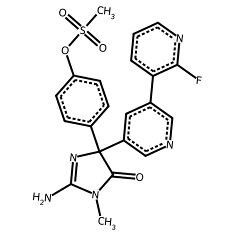 CN1C(=O)C(c2ccc(OS(C)(=O)=O)cc2)(c2cncc(-c3cccnc3F)c2)N=C1N